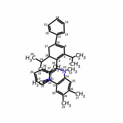 C=N/C=C(/C1=C(C(C)C)C=C(c2ccccc2)CC1C(C)C)N(C)c1cc(C)c(C)cc1-c1ccccc1C